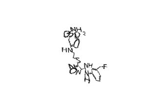 N=C(Nc1cccc(CF)c1)c1nonc1SCCNC(=O)CS(N)(=O)=O